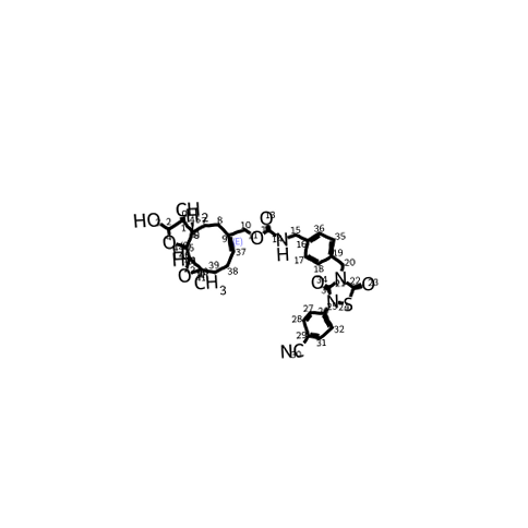 C=C1C(O)O[C@H]2[C@H]1CC/C(COC(=O)NCc1ccc(Cn3c(=O)sn(-c4ccc(C#N)cc4)c3=O)cc1)=C\CC[C@@]1(C)O[C@@H]21